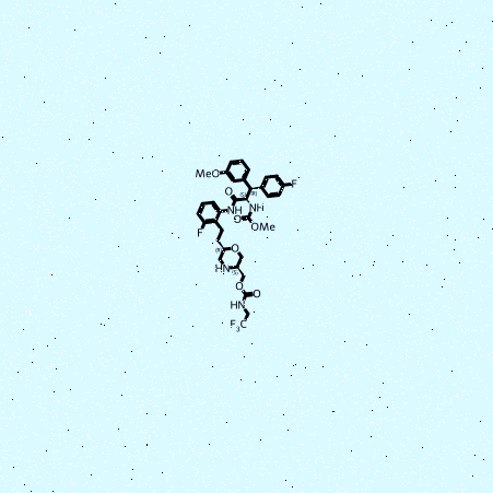 COC(=O)N[C@H](C(=O)Nc1cccc(F)c1CC[C@@H]1CN[C@H](COC(=O)NCC(F)(F)F)CO1)[C@H](c1ccc(F)cc1)c1cccc(OC)c1